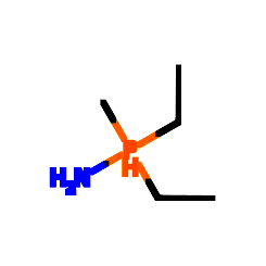 CC[PH](C)(N)CC